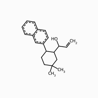 C=CC(O)C1CC(C)(C)CCC1c1ccc2ccccc2c1